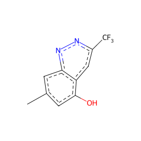 Cc1cc(O)c2cc(C(F)(F)F)nnc2c1